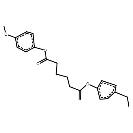 C=C(CCCCC(=O)Oc1ccc(OC)cc1)Oc1ccc(CC)cc1